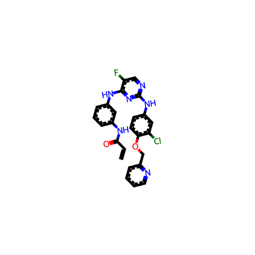 C=CC(=O)Nc1cccc(Nc2nc(Nc3ccc(OCc4ccccn4)c(Cl)c3)ncc2F)c1